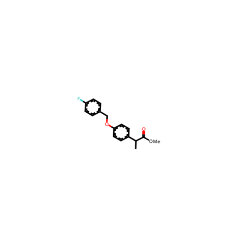 COC(=O)C(C)c1ccc(OCc2ccc(F)cc2)cc1